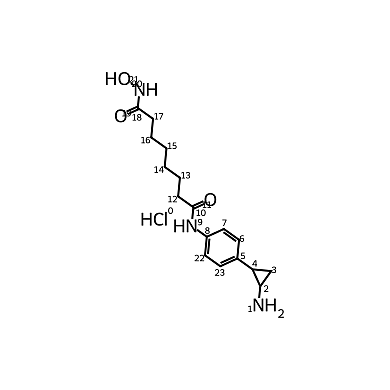 Cl.NC1CC1c1ccc(NC(=O)CCCCCCC(=O)NO)cc1